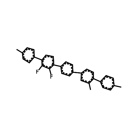 Cc1ccc(-c2ccc(-c3ccc(-c4ccc(-c5ccc(C)cc5)c(F)c4F)cc3)cc2C)cc1